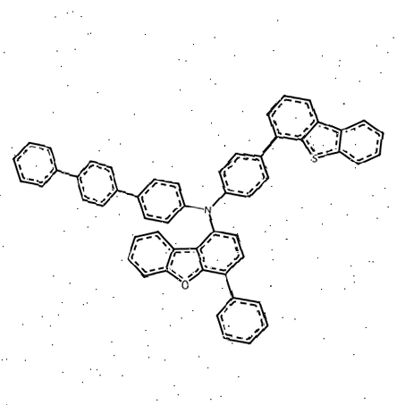 c1ccc(-c2ccc(-c3ccc(N(c4ccc(-c5cccc6c5sc5ccccc56)cc4)c4ccc(-c5ccccc5)c5oc6ccccc6c45)cc3)cc2)cc1